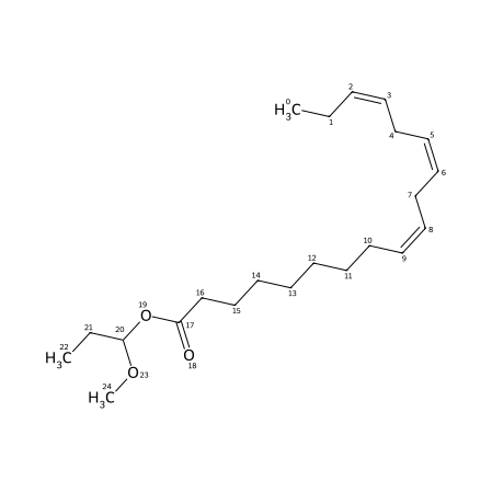 CC/C=C\C/C=C\C/C=C\CCCCCCCC(=O)OC(CC)OC